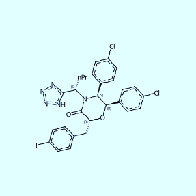 CCC[C@@H](c1nnn[nH]1)N1C(=O)[C@@H](Cc2ccc(I)cc2)O[C@H](c2ccc(Cl)cc2)[C@@H]1c1ccc(Cl)cc1